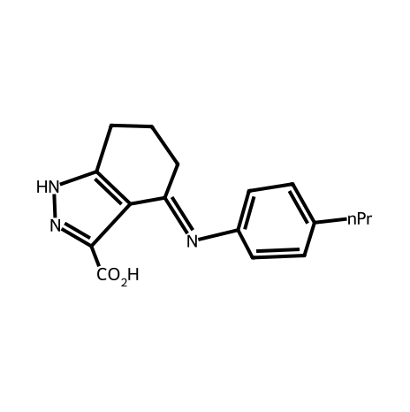 CCCc1ccc(N=C2CCCc3[nH]nc(C(=O)O)c32)cc1